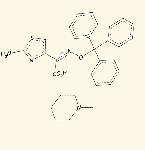 CN1CCCCC1.Nc1nc(/C(=N/OC(c2ccccc2)(c2ccccc2)c2ccccc2)C(=O)O)cs1